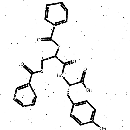 O=C(SCC(SC(=O)c1ccccc1)C(=O)N[C@@H](Cc1ccc(O)cc1)C(=O)O)c1ccccc1